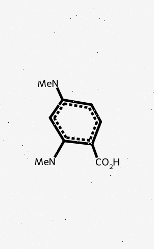 CNc1ccc(C(=O)O)c(NC)c1